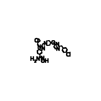 NC(=NO)c1ccc2c(c1)nc(CN1CCC(Oc3ccnc(Cc4ccc(Cl)cc4)n3)CC1)n2CC1CCO1